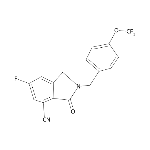 N#Cc1cc(F)cc2c1C(=O)N(Cc1ccc(OC(F)(F)F)cc1)C2